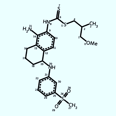 COCC(C)CSC(=S)Nc1ccc2c(c1N)CCCC2Nc1cccc(S(C)(=O)=O)c1